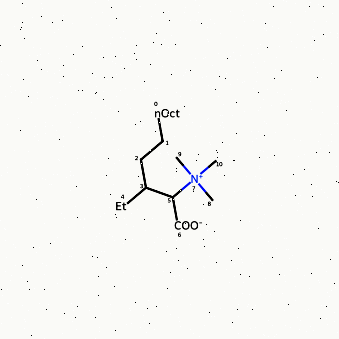 CCCCCCCCCCC(CC)C(C(=O)[O-])[N+](C)(C)C